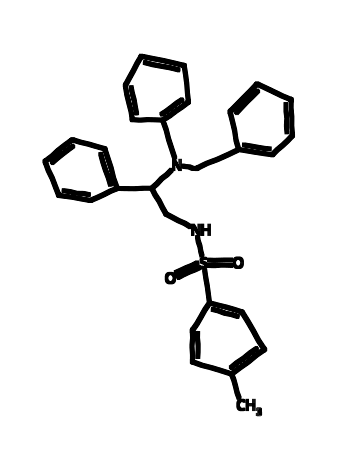 Cc1ccc(S(=O)(=O)NCC(c2ccccc2)N(Cc2ccccc2)c2ccccc2)cc1